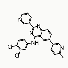 Cc1ccc(-c2ccc3nc(-c4cccnc4)nc(Nc4ccc(Cl)c(Cl)c4)c3c2)cn1